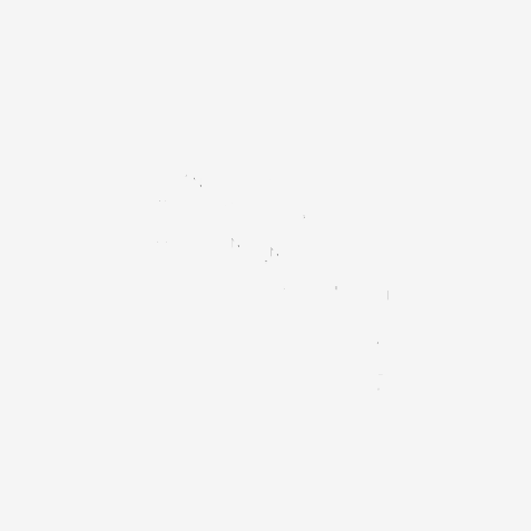 CCC(=O)N(C)C1=NN(c2cccc(C(F)(F)F)c2)CC1